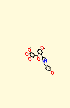 COc1ccc(Cn2cc(-c3cc(OC)ccc3C(=O)c3cc(OC)c(OC)c(OC)c3)cn2)cc1